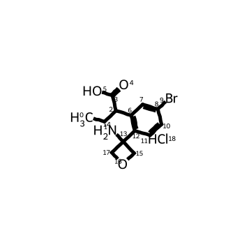 CCC(C(=O)O)c1cc(Br)ccc1C1(N)COC1.Cl